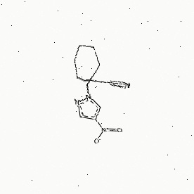 N#CC1(n2cc([N+](=O)[O-])cn2)CCCCC1